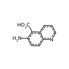 Nc1ccc2ncccc2c1C(=O)O